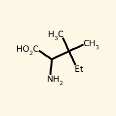 CCC(C)(C)C(N)C(=O)O